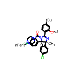 CCCCCN1CCN(C(=O)N2C(c3ccc(C(C)(C)C)cc3OCC)=N[C@@](C)(c3ccc(Cl)cc3)[C@@]2(C)c2ccc(Cl)cc2)CC1